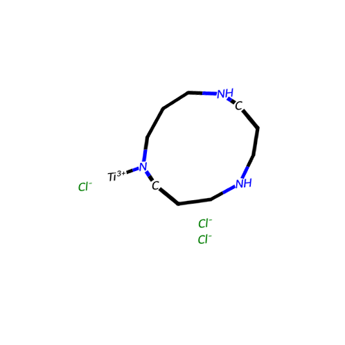 [Cl-].[Cl-].[Cl-].[Ti+3][N]1CCCNCCCNCCC1